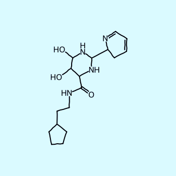 O=C(NCCC1CCCC1)C1NC(C2CC=CC=N2)NC(O)C1O